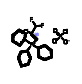 FC(F)/C(Cl)=C/[P+](c1ccccc1)(c1ccccc1)c1ccccc1.O=P([O-])(Cl)Cl